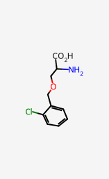 NC(COCc1ccccc1Cl)C(=O)O